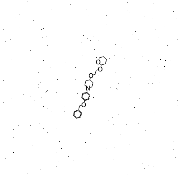 c1ccc(COc2ccc(N3CCC(OCCOC4CCCCO4)CC3)cc2)cc1